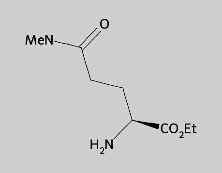 CCOC(=O)[C@@H](N)CCC(=O)NC